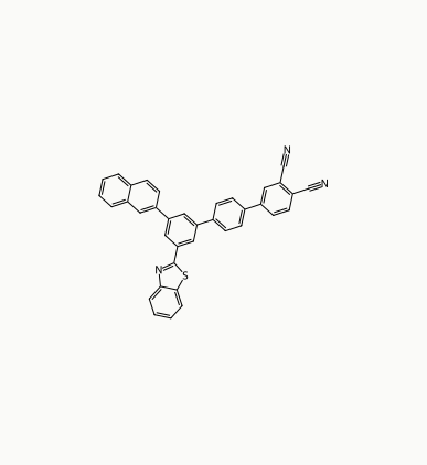 N#Cc1ccc(-c2ccc(-c3cc(-c4ccc5ccccc5c4)cc(-c4nc5ccccc5s4)c3)cc2)cc1C#N